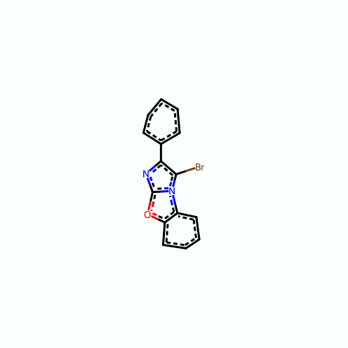 Brc1c(-c2ccccc2)nc2oc3ccccc3n12